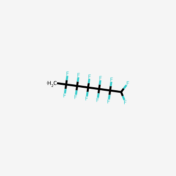 [CH2]C(F)(F)C(F)(F)C(F)(F)C(F)(F)C(F)(F)C(F)F